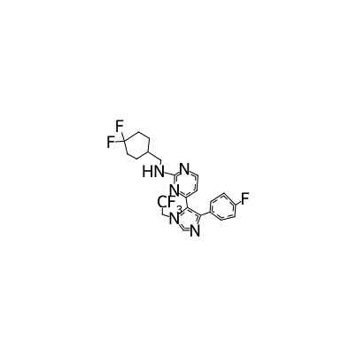 Fc1ccc(-c2ncn(CC(F)(F)F)c2-c2ccnc(NCC3CCC(F)(F)CC3)n2)cc1